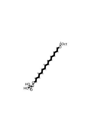 CCCCCCCCOCCCCCCCCCCCCCCCCOOP(=O)(O)O